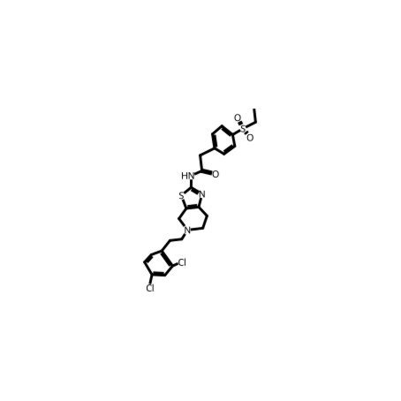 CCS(=O)(=O)c1ccc(CC(=O)Nc2nc3c(s2)CN(CCc2ccc(Cl)cc2Cl)CC3)cc1